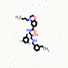 CCCCN1CCOc2ccc(C(=O)N[C@@H](Cc3cc(F)cc(F)c3)[C@@H](O)CNCc3cccc(CC)c3)cc21